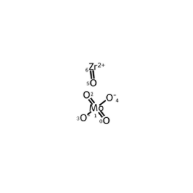 [O]=[Mo](=[O])([O-])[O-].[O]=[Zr+2]